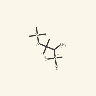 CC(C)(O[Si](C)(C)C)C([SiH3])[Si](Cl)(Cl)Cl